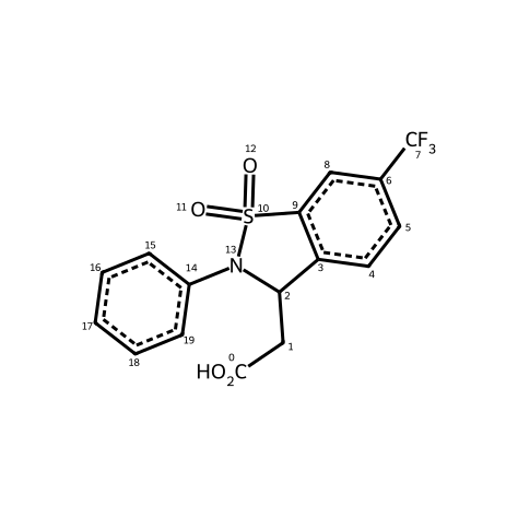 O=C(O)CC1c2ccc(C(F)(F)F)cc2S(=O)(=O)N1c1ccccc1